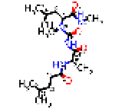 CNC(=O)[C@H](CC(C)C)N(C)C(=O)NC(=O)[C@@H](C)NC(=O)CCC(C)C